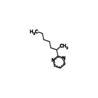 CCCCCC(C)c1ncccn1